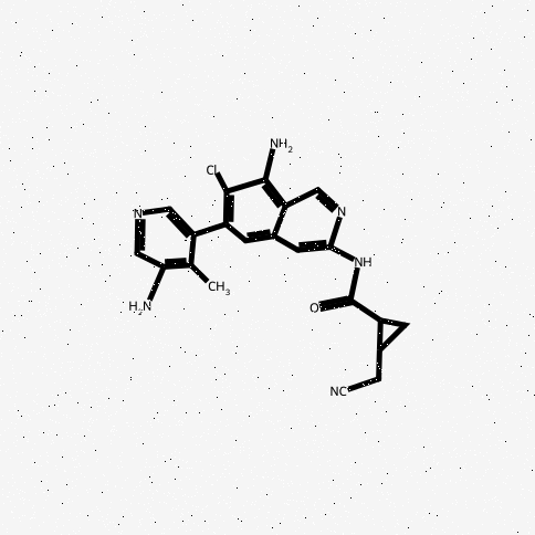 Cc1c(N)cncc1-c1cc2cc(NC(=O)C3CC3CC#N)ncc2c(N)c1Cl